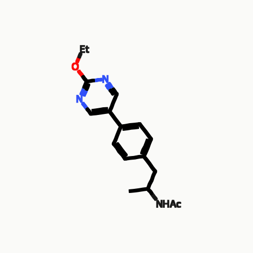 CCOc1ncc(-c2ccc(CC(C)NC(C)=O)cc2)cn1